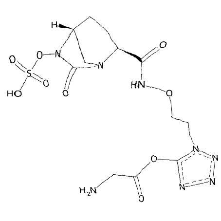 NCC(=O)Oc1nnnn1CCONC(=O)[C@@H]1CC[C@@H]2CN1C(=O)N2OS(=O)(=O)O